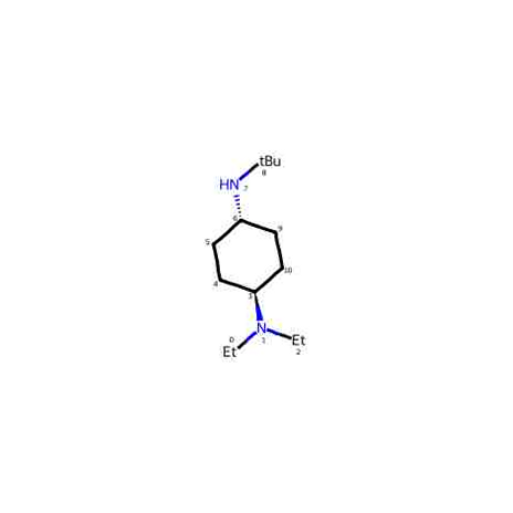 CCN(CC)[C@H]1CC[C@H](NC(C)(C)C)CC1